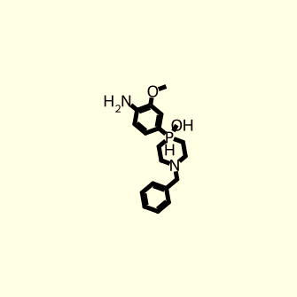 COc1cc([PH]2(O)CCN(Cc3ccccc3)CC2)ccc1N